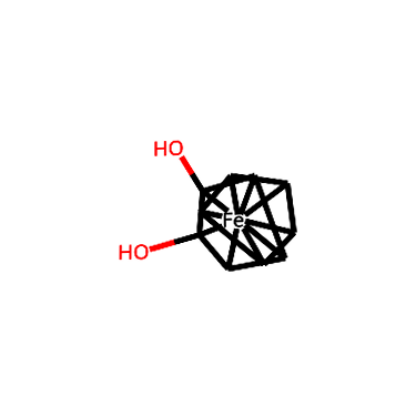 O[C]12[CH]3[CH]4[CH]5[C]1(O)[Fe]43521678[CH]2[CH]1[CH]6[CH]7[CH]28